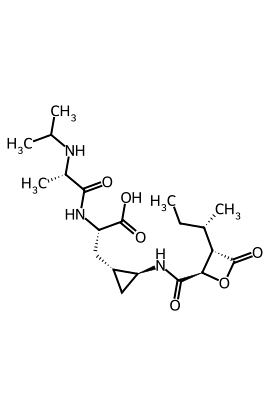 CC[C@H](C)[C@@H]1C(=O)O[C@H]1C(=O)N[C@H]1C[C@@H]1C[C@H](NC(=O)[C@H](C)NC(C)C)C(=O)O